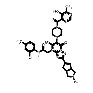 CCc1c(N2CCN(C(=O)c3ncnc(C)c3O)CC2)c(=O)n2nc(C3=CC4CN(C(C)=O)CC4C3)nc2n1CC(=O)Nc1ccc(C(F)(F)F)cc1Cl